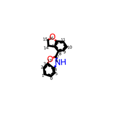 c1ccc2c(c1)NC(c1cccc3c1CCO3)O2